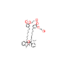 COCCCOc1cc(CCCCCCCC[C@@](O[C@](CCCCCCCCc2ccc(OC)c(OCCCOC)c2)(c2ccccc2C(C)C)C(C)C)(c2ccccc2C(C)C)C(C)C)ccc1OC